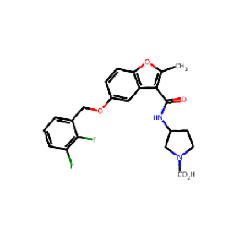 Cc1oc2ccc(OCc3cccc(F)c3F)cc2c1C(=O)NC1CCN(C(=O)O)C1